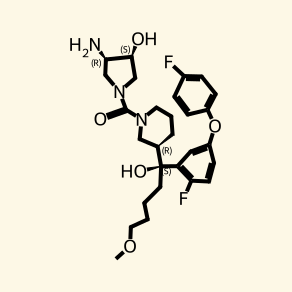 COCCCC[C@@](O)(c1cc(Oc2ccc(F)cc2)ccc1F)[C@@H]1CCCN(C(=O)N2C[C@@H](N)[C@@H](O)C2)C1